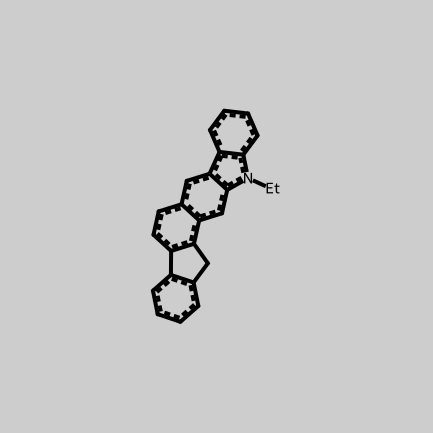 CCn1c2ccccc2c2cc3ccc4c(c3cc21)Cc1ccccc1-4